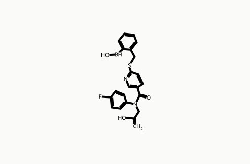 C=C(O)CN(C(=O)c1ccc(SCc2ccccc2BO)nc1)c1ccc(F)cc1